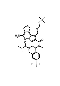 CC(C)C(=O)N1Cc2cc(C(F)(F)F)ccc2C(N(C)C(=O)c2cc3nc(N)c4c(c3n2COCC[Si](C)(C)C)COC4)C1